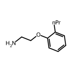 [CH2]CCc1ccccc1OCCN